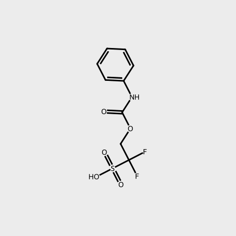 O=C(Nc1ccccc1)OCC(F)(F)S(=O)(=O)O